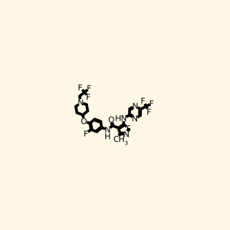 Cc1nsc(Nc2cnc(C(F)(F)F)cn2)c1C(=O)Nc1ccc(OC2CCN(CC(F)(F)F)CC2)c(F)c1